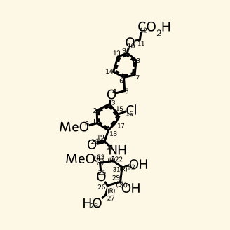 COc1cc(OCc2ccc(OCC(=O)O)cc2)c(Cl)cc1C(=O)N[C@H]1[C@@H](OC)O[C@H](CO)[C@@H](O)[C@@H]1O